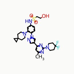 Cc1cc(-c2cnn(-c3ccc(NS(=O)(=O)CCO)cc3N3CCC4(CC3)CC4)c2)nc(N2CCC(F)(F)CC2)n1